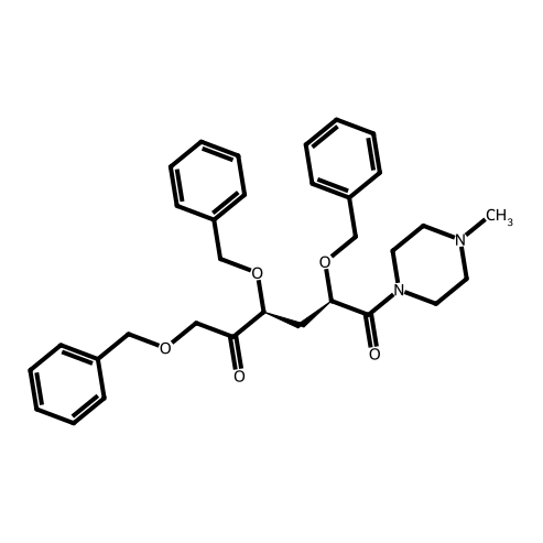 CN1CCN(C(=O)[C@@H](C[C@H](OCc2ccccc2)C(=O)COCc2ccccc2)OCc2ccccc2)CC1